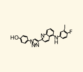 Oc1ccc(-n2cc(-c3ccc4c(Nc5ccc(F)c(I)c5)cccc4n3)nn2)cc1